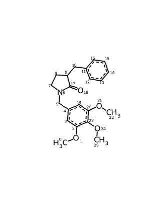 COc1cc(CN2CCC(Cc3ccccc3)C2=O)cc(OC)c1OC